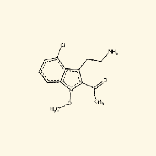 COn1c(C(C)=O)c(CCN)c2c(Cl)cccc21